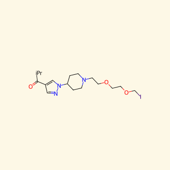 CC(C)C(=O)c1cnn(C2CCN(CCOCCOCI)CC2)c1